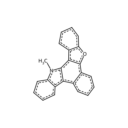 Cn1c2ccccc2c2c3ccccc3c3oc4ccccc4c3c21